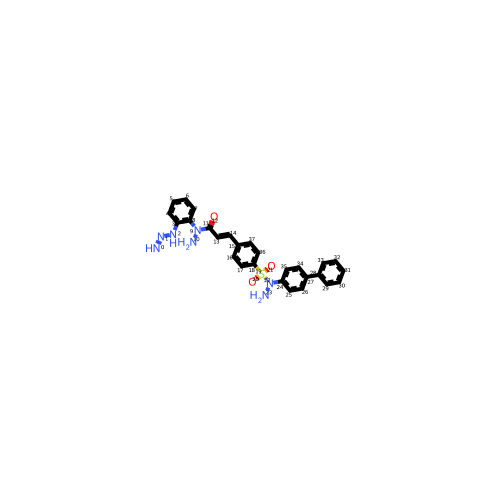 N=NNc1ccccc1N(N)C(=O)/C=C/c1ccc(S(=O)(=O)N(N)c2ccc(-c3ccccc3)cc2)cc1